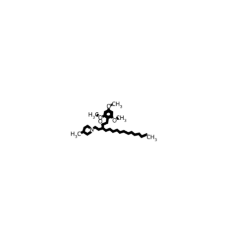 CCCCCCCCCCCCCC(CCN1CCC(C)CC1)C(=O)Cc1c(OC)cc(OC)cc1OC